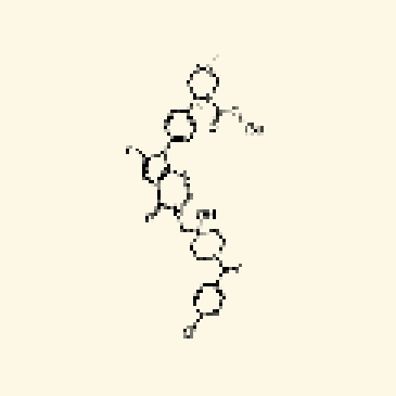 C[C@@H]1CN(C(=O)OC(C)(C)C)[C@@H](c2ccc(-n3c(Cl)cc4c(=O)n(CC5(O)CCN(C(=O)c6ccc(Cl)cc6)CC5)cnc43)cc2)CO1